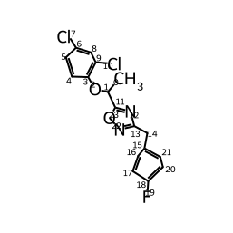 CC(Oc1ccc(Cl)cc1Cl)c1nc(Cc2ccc(F)cc2)no1